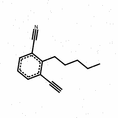 C#Cc1cccc(C#N)c1CCCCC